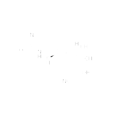 [C-]#[N+]C1=C(O)C(C)(C)[C@@H]2CCc3cnc(=O)[nH]c3[C@@]2(C)C1